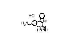 CN1NNN=C1c1[nH]c2ccccc2c1-c1ccc(CN)cc1.Cl